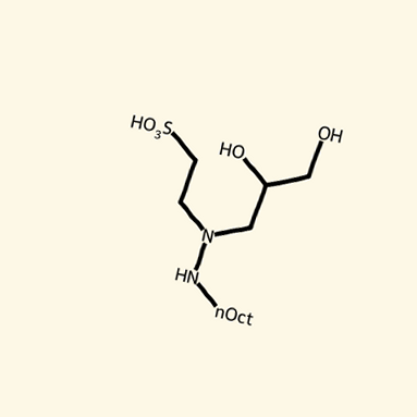 CCCCCCCCNN(CCS(=O)(=O)O)CC(O)CO